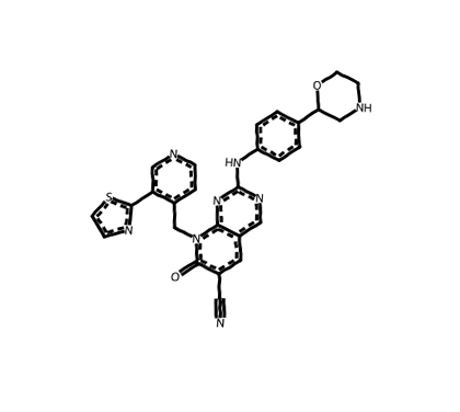 N#Cc1cc2cnc(Nc3ccc(C4CNCCO4)cc3)nc2n(Cc2ccncc2-c2nccs2)c1=O